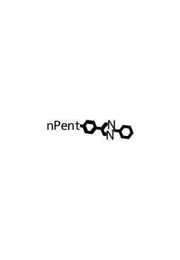 CCCCCc1ccc(-c2cnc(C3CCCCC3)nc2)cc1